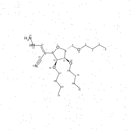 CCCCOC[C@H]1OC(/C(C#N)=C/NN)[C@H](OCCCC)[C@@H]1OCCCC